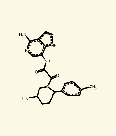 Cc1ccc(C2CCC(C)CN2C(=O)C(=O)Nc2cnc(N)c3cn[nH]c23)cc1